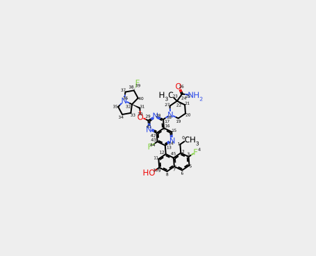 CCc1c(F)ccc2cc(O)cc(-c3ncc4c(N5CCCC(C)(C(N)=O)C5)nc(OC[C@@]56CCCN5C[C@H](F)C6)nc4c3F)c12